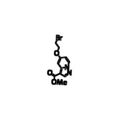 COC(=O)c1cnn2ccc(OCCBr)cc12